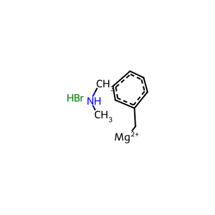 Br.CNC.[Mg+2][CH2]c1ccccc1